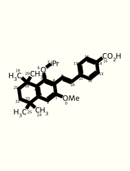 COc1cc2c(c(OC(C)C)c1C=Cc1ccc(C(=O)O)cc1)C(C)(C)CCC2(C)C